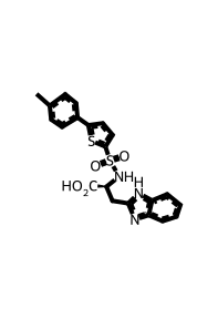 Cc1ccc(-c2ccc(S(=O)(=O)N[C@@H](Cc3nc4ccccc4[nH]3)C(=O)O)s2)cc1